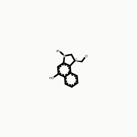 CC(C)N1C[C@@H](CCl)c2c1cc(O)c1ccccc21